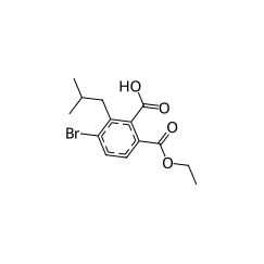 CCOC(=O)c1ccc(Br)c(CC(C)C)c1C(=O)O